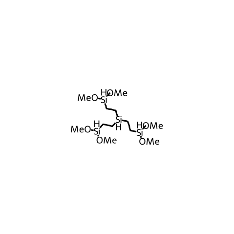 CO[SiH](CC[SiH](CC[SiH](OC)OC)CC[SiH](OC)OC)OC